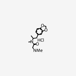 CNCC(=O)N(C)C(C)Cc1ccc2c(c1)OCO2.Cl